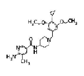 CCOc1cc(CN2CCC(NC(=O)c3cnc(N)c(C)c3)CC2)cc(OCC)c1C1CC1